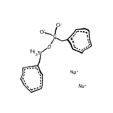 [Na+].[Na+].[O-][Si]([O-])(O[SiH2]c1ccccc1)c1ccccc1